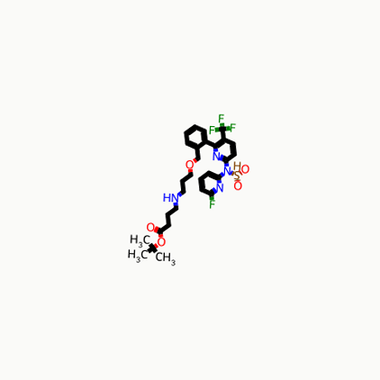 CC(C)(C)OC(=O)CCCNCCCOCc1ccccc1-c1nc(N(c2cccc(F)n2)[SH](=O)=O)ccc1C(F)(F)F